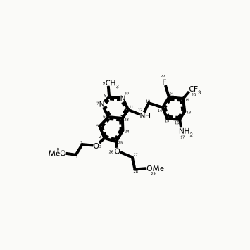 COCCOc1cc2nc(C)nc(NCc3cc(N)cc(C(F)(F)F)c3F)c2cc1OCCOC